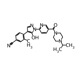 Cc1cc(C#N)ccc1-c1cnn(-c2ccc(C(=O)N3CCN(C(C)C)CC3)cn2)c1O